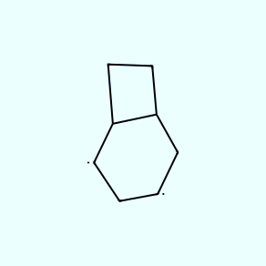 [CH]1C[CH]C2CCC2C1